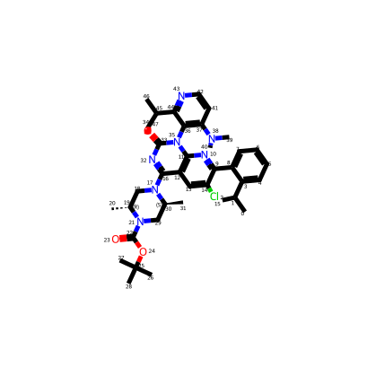 CC(C)c1ccccc1-c1nc2c(cc1Cl)c(N1C[C@@H](C)N(C(=O)OC(C)(C)C)C[C@@H]1C)nc(=O)n2-c1c(N(C)C)ccnc1C(C)C